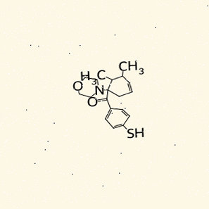 CC1C=CCC(C(=O)c2ccc(S)cc2)(N2CCOCC2)C1C